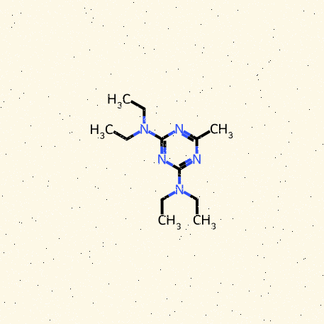 CCN(CC)c1nc(C)nc(N(CC)CC)n1